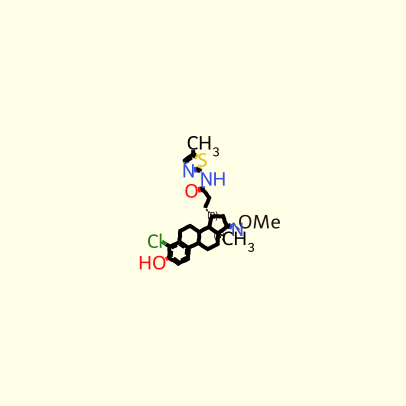 CON=C1C[C@@H](CCC(=O)Nc2ncc(C)s2)C2C3CCc4c(ccc(O)c4Cl)C3CC[C@]12C